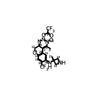 Cc1c2c(nn(OC(=O)C(F)(F)F)[n+]1=O)COc1cc(C(F)(F)F)c(NC3(C)CNC3)cc1-2